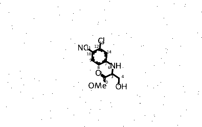 COC(=O)C(CO)Nc1ccc(C#N)c(Cl)c1